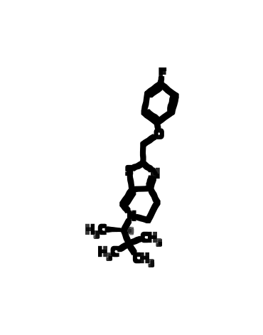 C[C@@H](N1C=C2SC(COc3ccc(F)cc3)N=C2CC1)C(C)(C)C